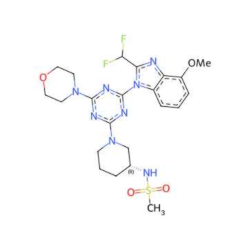 COc1cccc2c1nc(C(F)F)n2-c1nc(N2CCOCC2)nc(N2CCC[C@@H](NS(C)(=O)=O)C2)n1